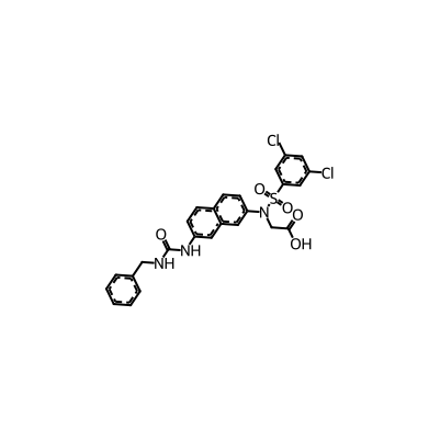 O=C(O)CN(c1ccc2ccc(NC(=O)NCc3ccccc3)cc2c1)S(=O)(=O)c1cc(Cl)cc(Cl)c1